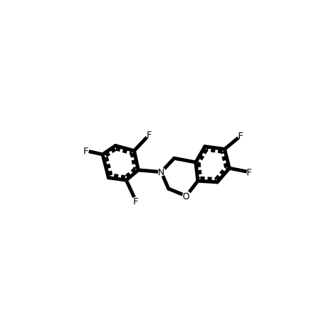 Fc1cc(F)c(N2COc3cc(F)c(F)cc3C2)c(F)c1